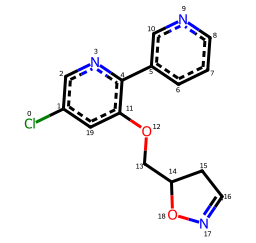 Clc1cnc(-c2cccnc2)c(OCC2C[C]=NO2)c1